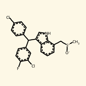 C[S+]([O-])Cc1cccc2c(C(c3ccc(Cl)cc3)c3ccc(F)c(Cl)c3)c[nH]c12